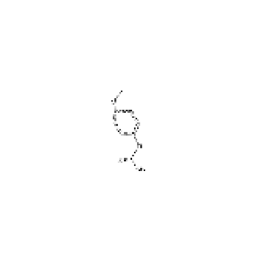 COc1ccc(OC(=S)S)cc1